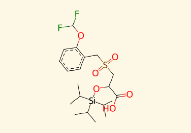 CC(C)[Si](OC(CS(=O)(=O)Cc1ccccc1OC(F)F)C(=O)O)(C(C)C)C(C)C